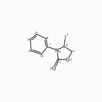 O=C1OCC(I)N1c1ccccc1